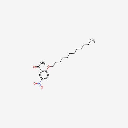 CCCCCCCCCCCCOc1ccc([N+](=O)[O-])cc1C(C)=O